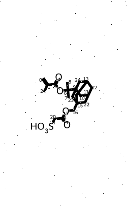 C=C(C)C(=O)OC(C)(C)C12CC3CC(CC(COC(=O)CS(=O)(=O)O)(C3)C1)C2